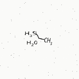 CC[SiH3].O